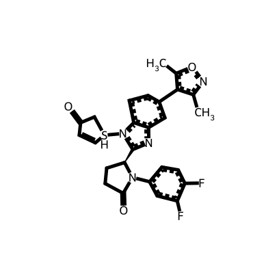 Cc1noc(C)c1-c1ccc2c(c1)nc([C@@H]1CCC(=O)N1c1ccc(F)c(F)c1)n2[SH]1C=CC(=O)C1